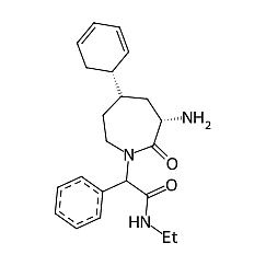 CCNC(=O)C(c1ccccc1)N1CCC([C@H]2C=CC=CC2)C[C@H](N)C1=O